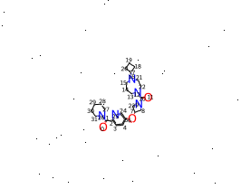 O=C(c1ccc(OC2CN(C(=O)N3CCCN(C4CCC4)CC3)C2)cn1)N1CCCCC1